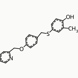 Cc1cc(SCc2ccc(OCc3ccccn3)cc2)ccc1O